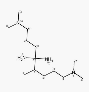 CC(CCCN(C)C)C(N)(N)CCCN(C)C